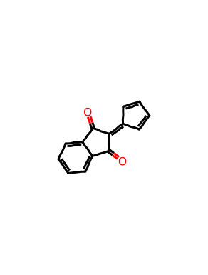 O=C1C(=C2C=CC=C2)C(=O)c2ccccc21